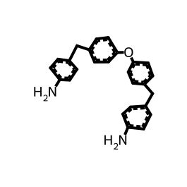 Nc1ccc(Cc2ccc(Oc3ccc(Cc4ccc(N)cc4)cc3)cc2)cc1